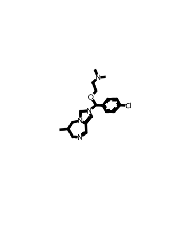 CC1CN=CC2=CN(C(OCCN(C)C)c3ccc(Cl)cc3)CN2C1